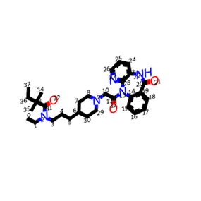 CCN(CCCC1CCN(CC(=O)N2c3ccccc3C(=O)Nc3cccnc32)CC1)C(=O)C(C)(C)CC